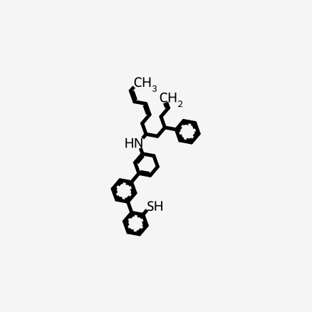 C=CCC(CC(C/C=C\C=C/C)NC1=CC(c2cccc(-c3ccccc3S)c2)=CCC1)c1ccccc1